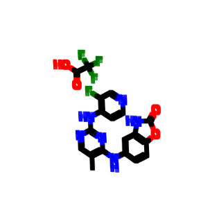 Cc1cnc(Nc2ccncc2F)nc1Nc1ccc2oc(=O)[nH]c2c1.O=C(O)C(F)(F)F